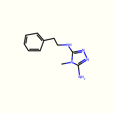 Cn1c(N)nnc1NCCc1ccccc1